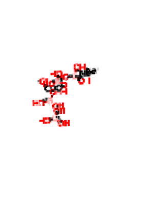 O=C([O-])[O-].OB(O)O.OB(O)O.OB(O)O.OB(O)O.[Na+].[Na+]